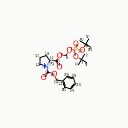 CC(C)(C)OP(=O)(OCOC(=O)[C@@H]1CCCN1C(=O)OCc1ccccc1)OC(C)(C)C